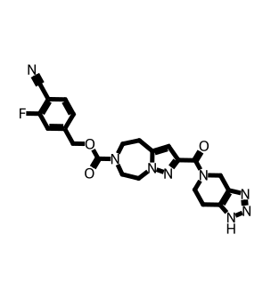 N#Cc1ccc(COC(=O)N2CCc3cc(C(=O)N4CCc5[nH]nnc5C4)nn3CC2)cc1F